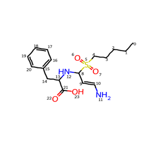 CCCCCS(=O)(=O)C(C=CN)NC(Cc1ccccc1)C(=O)O